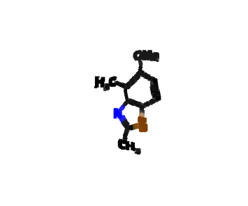 COc1ccc2sc(C)nc2c1C